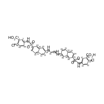 O=C(O)c1cc(NS(=O)(=O)c2ccc3ccc(NC=NNc4ccc5ccc(S(=O)(=O)Nc6ccc(Cl)c(C(=O)O)c6)cc5c4)cc3c2)ccc1Cl